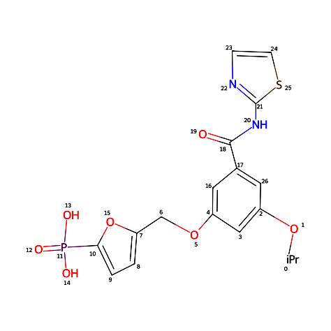 CC(C)Oc1cc(OCc2ccc(P(=O)(O)O)o2)cc(C(=O)Nc2nccs2)c1